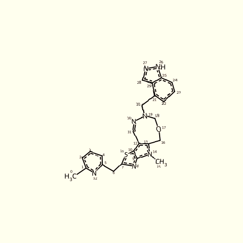 Cc1cccc(Cc2nc3c(s2)c2c(n3C)COCN(Cc3cccc4[nH]ncc34)/N=C\2)n1